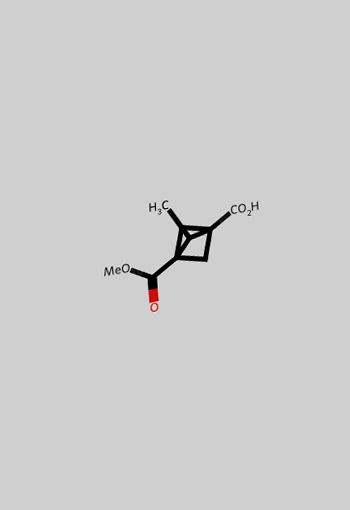 COC(=O)C12CC(C(=O)O)(C1)C2C